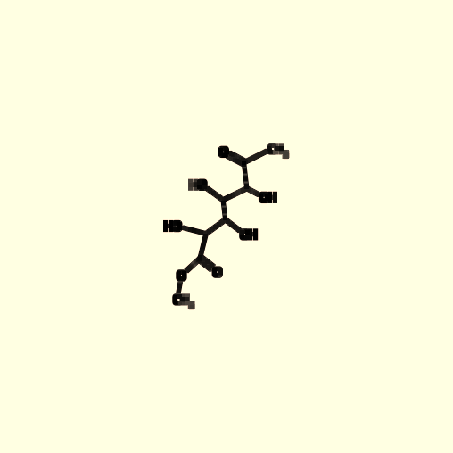 COC(=O)C(O)C(O)C(O)C(O)C(C)=O